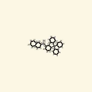 c1ccc(C2(c3ccccc3)c3ccccc3-c3c(Nc4ccc5ccccc5c4)cccc32)cc1